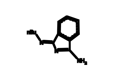 CCCC/N=C1/N=C(N)c2ccccc21